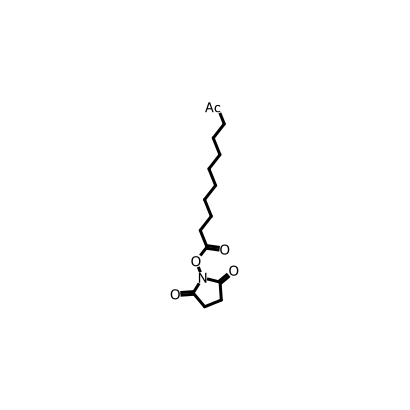 CC(=O)CCCCCCCCC(=O)ON1C(=O)CCC1=O